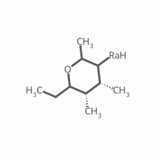 CCC1OC(C)[CH]([RaH])[C@H](C)[C@@H]1C